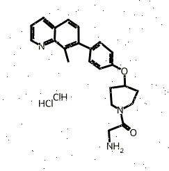 Cc1c(-c2ccc(OC3CCN(C(=O)CN)CC3)cc2)ccc2cccnc12.Cl.Cl